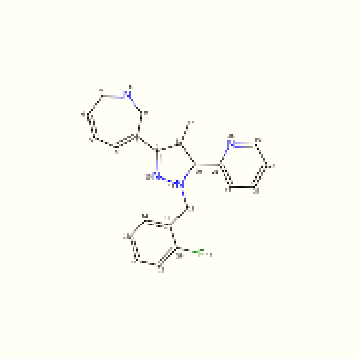 CC1C(C2=CC=CC=NC2)=NN(Cc2ccccc2F)C1c1ccccn1